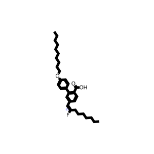 CCCCCCCCCCOc1ccc(-c2cc(/C=C(/F)CCCCCCC)ccc2C(=O)O)cc1